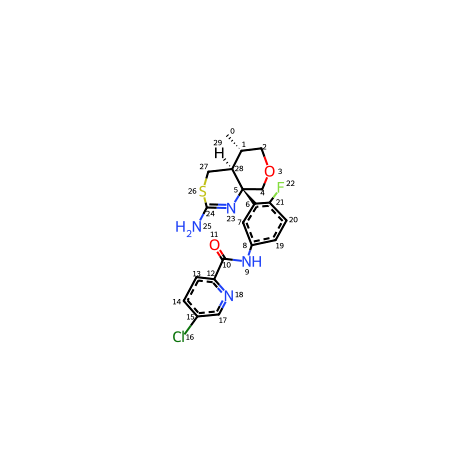 C[C@@H]1COC[C@]2(c3cc(NC(=O)c4ccc(Cl)cn4)ccc3F)N=C(N)SC[C@@H]12